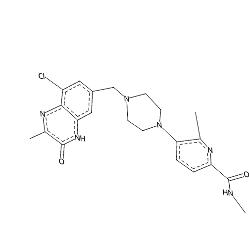 CNC(=O)c1ccc(N2CCN(Cc3cc(Cl)c4nc(C)c(=O)[nH]c4c3)CC2)c(C)n1